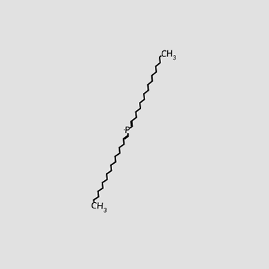 CCCCCCCCCCCCCCCC=C[P]C=CCCCCCCCCCCCCCCC